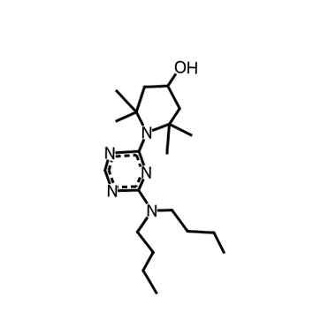 CCCCN(CCCC)c1ncnc(N2C(C)(C)CC(O)CC2(C)C)n1